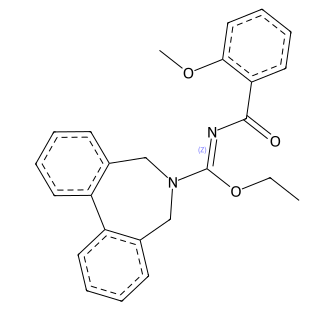 CCO/C(=N\C(=O)c1ccccc1OC)N1Cc2ccccc2-c2ccccc2C1